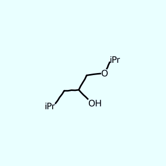 CC(C)CC(O)COC(C)C